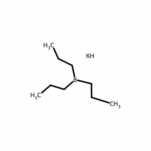 CCCB(CCC)CCC.[KH]